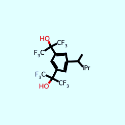 CC(C)C(C)c1cc(C(O)(C(F)(F)F)C(F)(F)F)cc(C(O)(C(F)(F)F)C(F)(F)F)c1